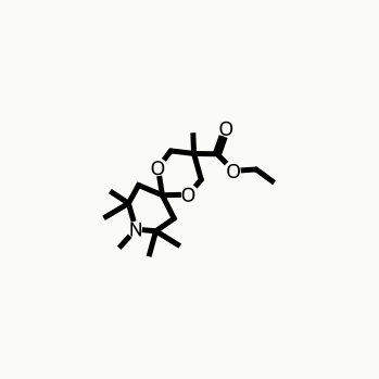 CCOC(=O)C1(C)COC2(CC(C)(C)N(C)C(C)(C)C2)OC1